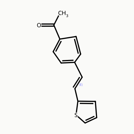 CC(=O)c1ccc(/C=C/c2cccs2)cc1